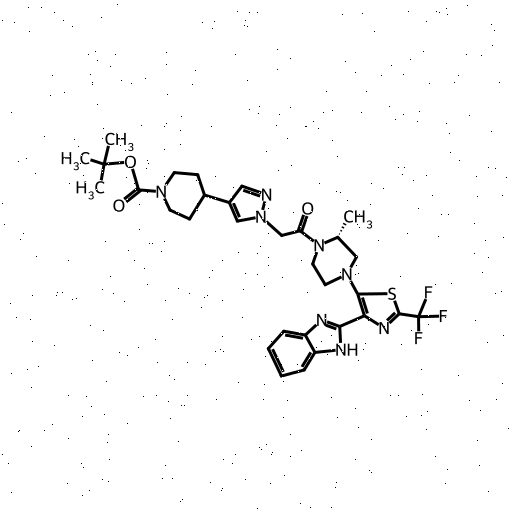 C[C@@H]1CN(c2sc(C(F)(F)F)nc2-c2nc3ccccc3[nH]2)CCN1C(=O)Cn1cc(C2CCN(C(=O)OC(C)(C)C)CC2)cn1